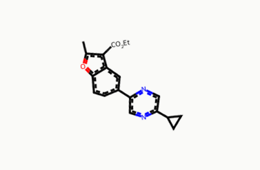 CCOC(=O)c1c(C)oc2ccc(-c3cnc(C4CC4)cn3)cc12